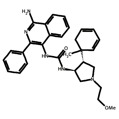 COCCN1C[C@@H](C2(C)C=CC=CC2)[C@H](NC(=O)Nc2c(-c3ccccc3)nc(N)c3ccccc23)C1